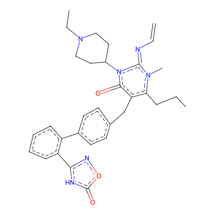 C=C/N=c1\n(C)c(CCC)c(Cc2ccc(-c3ccccc3-c3noc(=O)[nH]3)cc2)c(=O)n1C1CCN(CC)CC1